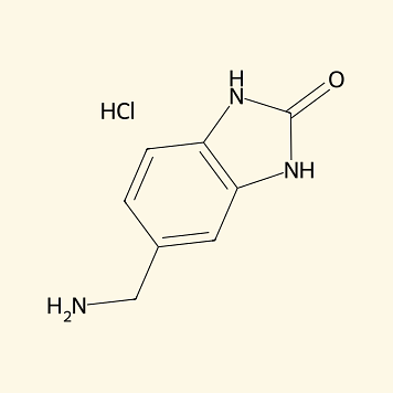 Cl.NCc1ccc2[nH]c(=O)[nH]c2c1